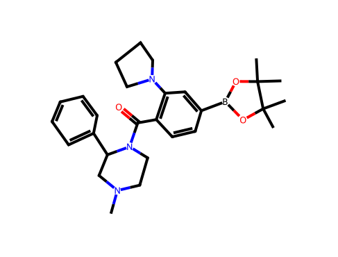 CN1CCN(C(=O)c2ccc(B3OC(C)(C)C(C)(C)O3)cc2N2CCCC2)C(c2ccccc2)C1